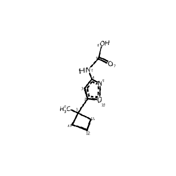 CC1(c2cc(NC(=O)O)no2)CCC1